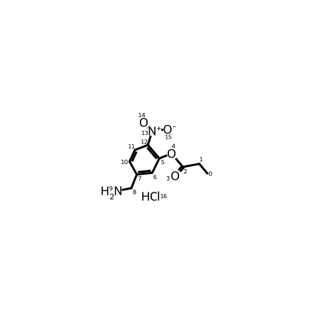 CCC(=O)Oc1cc(CN)ccc1[N+](=O)[O-].Cl